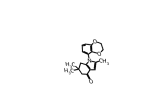 Cc1cc2c(n1-c1cccc3c1OCCO3)CC(C)(C)CC2=O